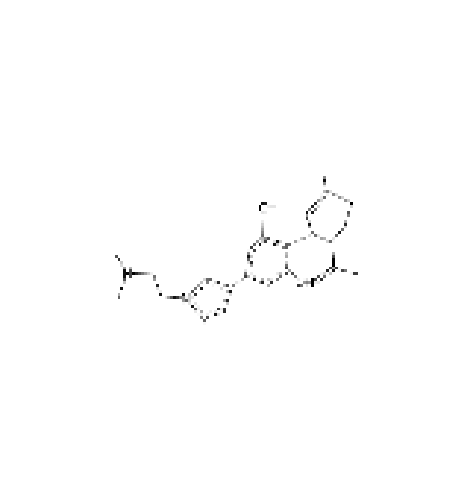 C=C(C)[C@@H]1CCC(C)=C[C@H]1c1c(O)cc(-c2cnn(CCN(C)C)c2)cc1O